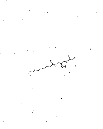 C=CC(=O)OCC(O)COC(=O)CCCCCCCCC